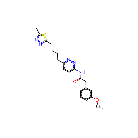 Cc1nnc(CCCCc2ccc(NC(=O)Cc3cccc(OC(F)(F)F)c3)nn2)s1